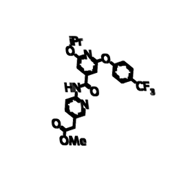 COC(=O)Cc1ccc(NC(=O)c2cc(Oc3ccc(C(F)(F)F)cc3)nc(OC(C)C)c2)nc1